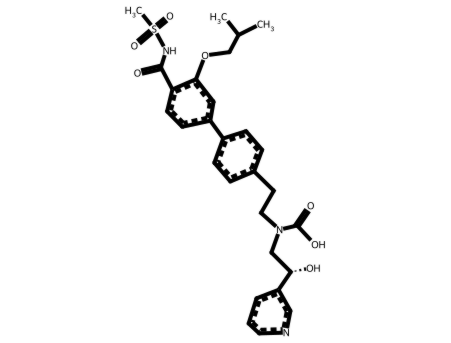 CC(C)COc1cc(-c2ccc(CCN(C[C@H](O)c3cccnc3)C(=O)O)cc2)ccc1C(=O)NS(C)(=O)=O